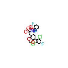 O=C(N[C@@H](Cc1ccc(-c2c(Cl)cc(F)cc2Cl)c2c1OCCO2)C(=O)O)c1c(F)cccc1F